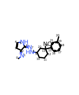 C/N=C1\C=CN\C1=N\NC1CCCC(N=O)(c2cccc(C)c2)C1